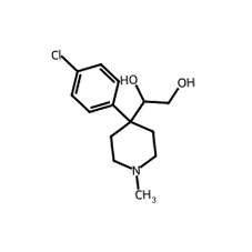 CN1CCC(c2ccc(Cl)cc2)(C(O)CO)CC1